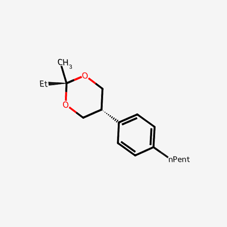 CCCCCc1ccc([C@H]2CO[C@](C)(CC)OC2)cc1